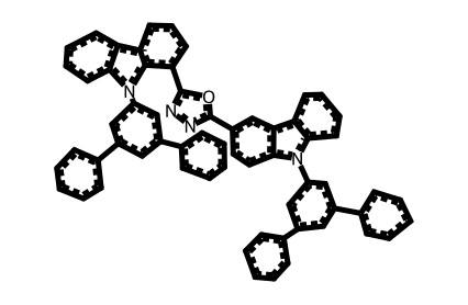 c1ccc(-c2cc(-c3ccccc3)cc(-n3c4ccccc4c4cc(-c5nnc(-c6cccc7c8ccccc8n(-c8cc(-c9ccccc9)cc(-c9ccccc9)c8)c67)o5)ccc43)c2)cc1